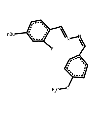 CCCCc1ccc(/C=N/N=C\c2ccc(OC(F)(F)F)cc2)c(F)c1